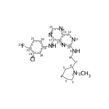 CN1CCCCC1CCNc1ncc2ncnc(Nc3ccc(F)c(Cl)c3)c2n1